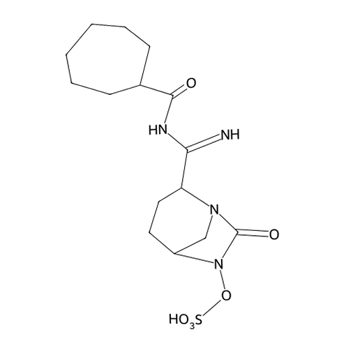 N=C(NC(=O)C1CCCCCC1)C1CCC2CN1C(=O)N2OS(=O)(=O)O